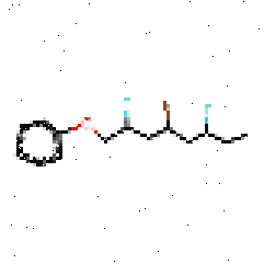 CCC(F)CC(Br)CC(F)COc1ccccc1